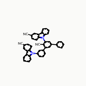 N#Cc1ccc2c(c1)c1ccccc1n2-c1cccc(-c2cc(-c3ccccc3)cc(-n3c4ccccc4c4cc(C#N)ccc43)c2C#N)c1